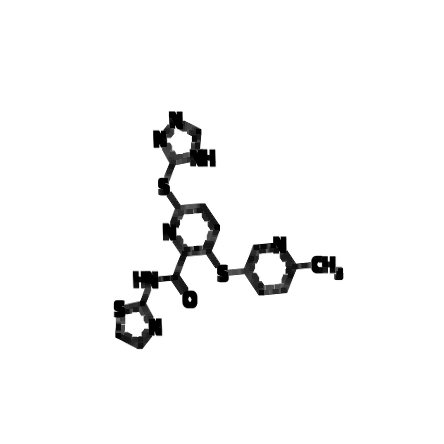 Cc1ccc(Sc2ccc(Sc3nnc[nH]3)nc2C(=O)Nc2nccs2)cn1